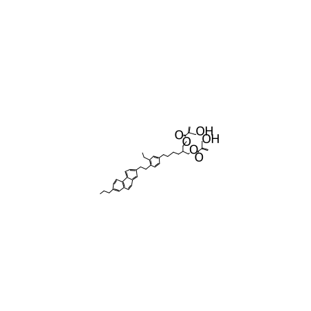 C=C(CO)C(=O)OCC(CCCCc1ccc(CCc2ccc3c(ccc4cc(CCC)ccc43)c2)c(CC)c1)COC(=O)C(=C)CO